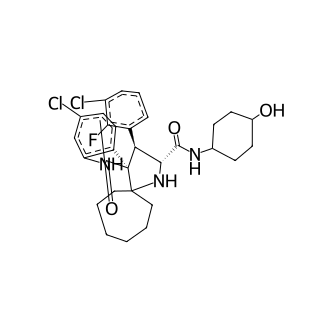 O=C(NC1CCC(O)CC1)[C@@H]1NC2(CCCCCC2)[C@@]2(C(=O)Nc3cc(Cl)ccc32)[C@H]1c1cccc(Cl)c1F